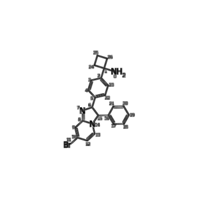 NC1(c2ccc(C3N=C4C=C(Br)C=CN4C3c3ccccc3)cc2)CCC1